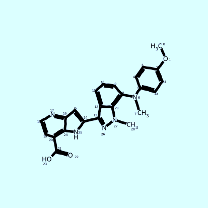 COc1ccc(N(C)c2cccc3c(-c4cc5nccc(C(=O)O)c5[nH]4)nn(C)c23)cc1